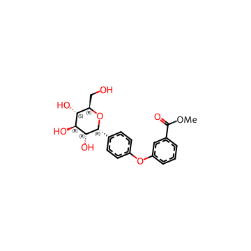 COC(=O)c1cccc(Oc2ccc([C@H]3O[C@H](CO)[C@@H](O)[C@H](O)[C@H]3O)cc2)c1